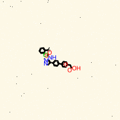 C[C@@H](OC(=O)Nc1c(-c2ccc(C34CCC(CC(=O)O)(CC3)OC4)cc2)cnn1C)c1ccccc1Cl